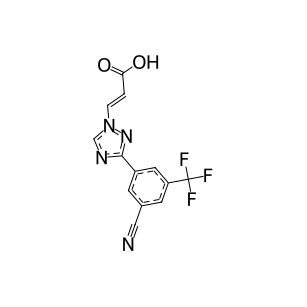 N#Cc1cc(-c2ncn(C=CC(=O)O)n2)cc(C(F)(F)F)c1